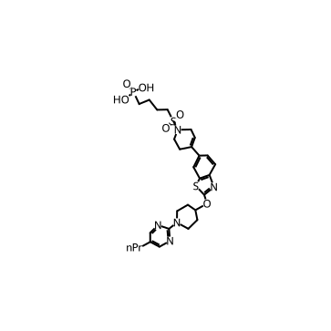 CCCc1cnc(N2CCC(Oc3nc4ccc(C5=CCN(S(=O)(=O)CCCCP(=O)(O)O)CC5)cc4s3)CC2)nc1